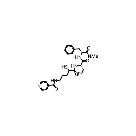 CNC(=O)[C@H](Cc1ccccc1)NC(=O)[C@H](CC(C)C)NC(=O)C(S)CCCNC(=O)c1ccncc1